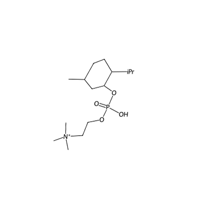 CC1CCC(C(C)C)C(OP(=O)(O)OCC[N+](C)(C)C)C1